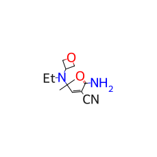 CCN(C1COC1)C(C)(C)C=C(C#N)C(N)=O